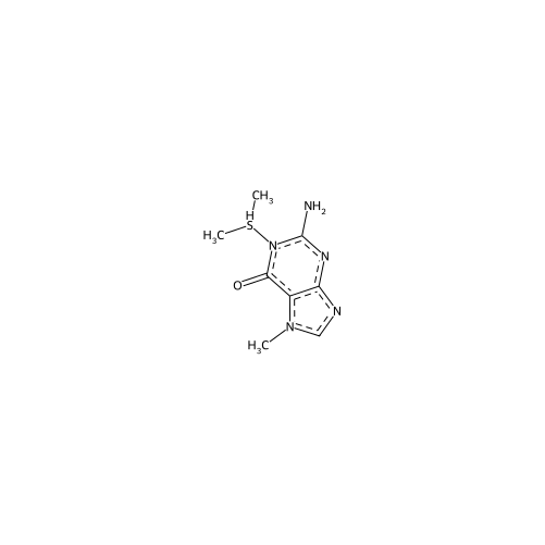 Cn1cnc2nc(N)n([SH](C)C)c(=O)c21